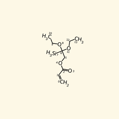 C=CC(=O)OCC([SiH3])(OCC)OCC